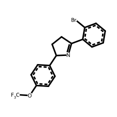 FC(F)(F)Oc1ccc(C2CCC(c3ccccc3Br)=N2)cc1